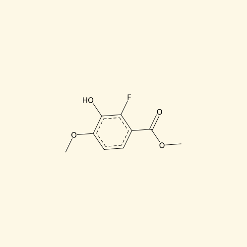 COC(=O)c1ccc(OC)c(O)c1F